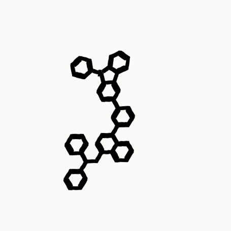 c1ccc(C(Cc2ccc(-c3cccc(-c4ccc5c(c4)c4ccccc4n5-c4ccccc4)c3)c3ccccc23)c2ccccc2)cc1